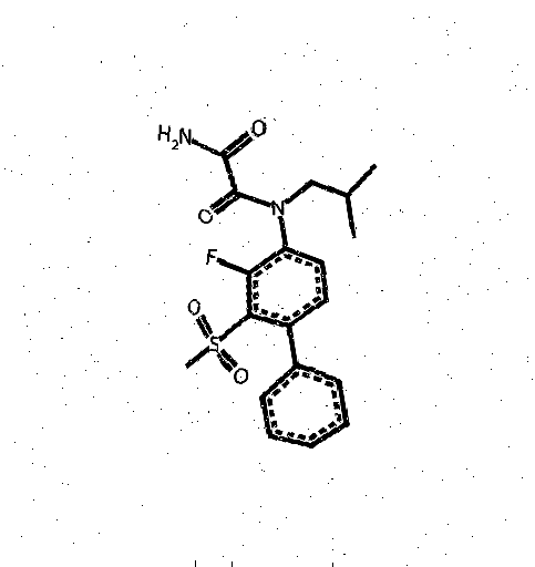 CC(C)CN(C(=O)C(N)=O)c1ccc(-c2ccccc2)c(S(C)(=O)=O)c1F